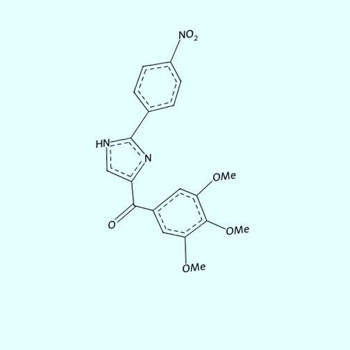 COc1cc(C(=O)c2c[nH]c(-c3ccc([N+](=O)[O-])cc3)n2)cc(OC)c1OC